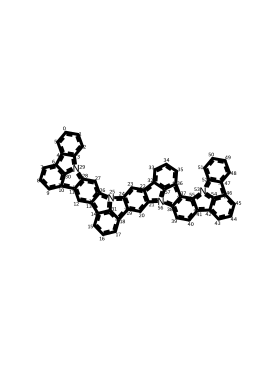 c1ccc2c(c1)c1cccc3c4cc5c6cccc7c8cc9c(cc8n(c5cc4n2c13)c76)c1cccc2c3c(ccc4c5cccc6c7ccccc7n(c65)c43)n9c12